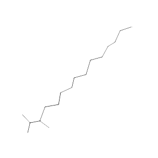 CC(C)C(C)CCCCCCCCCCCCl